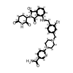 CCc1cc(CN2CCN(c3ccc(C(N)=O)cn3)CC2)ccc1CNc1cccc2c1C(=O)N(C1CCC(=O)NC1=O)C2=O